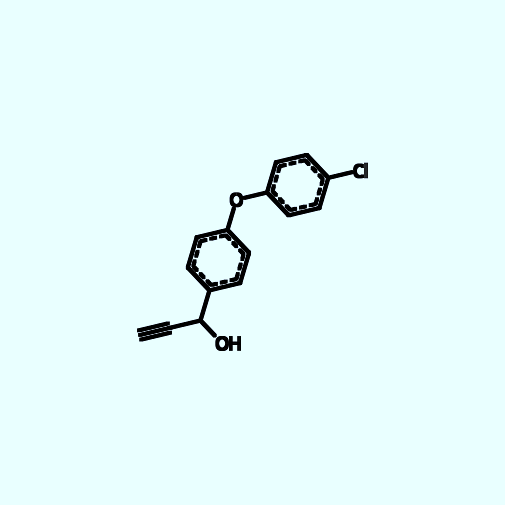 C#CC(O)c1ccc(Oc2ccc(Cl)cc2)cc1